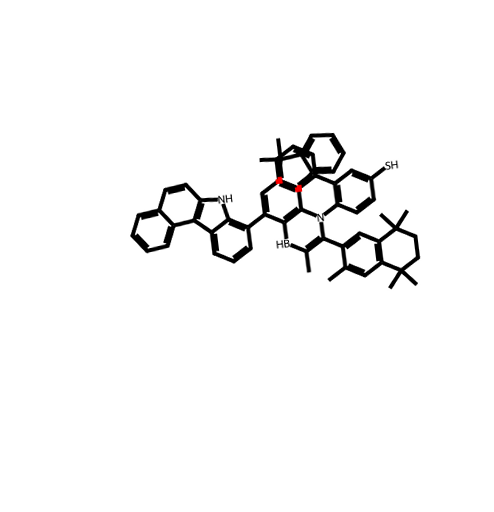 CC1=C(c2cc3c(cc2C)C(C)(C)CCC3(C)C)N(c2ccc(S)cc2-c2ccccc2)c2c(c(-c3cccc4c3[nH]c3ccc5ccccc5c34)cc3c2-c2ccccc2C3(C)C)B1